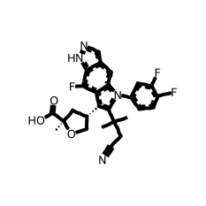 CC(C)(CC#N)c1c([C@@H]2CO[C@@](C)(C(=O)O)C2)c2c(F)c3[nH]ncc3cc2n1-c1ccc(F)c(F)c1